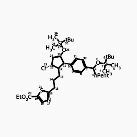 CCCCCC(O[Si](C)(C)C(C)(C)C)c1ccc([C@H]2C(CCCc3ncc(C(=O)OCC)s3)[C@H](Cl)C[C@H]2O[Si](C)(C)C(C)(C)C)cc1